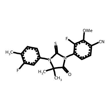 COc1c(C#N)ccc(N2C(=O)C(C)(C)N(c3ccc(C)c(F)c3)C2=S)c1F